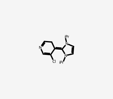 CC(C)N1C=CN(C(C)C)C1=C1CC=N[C]=C1Cl